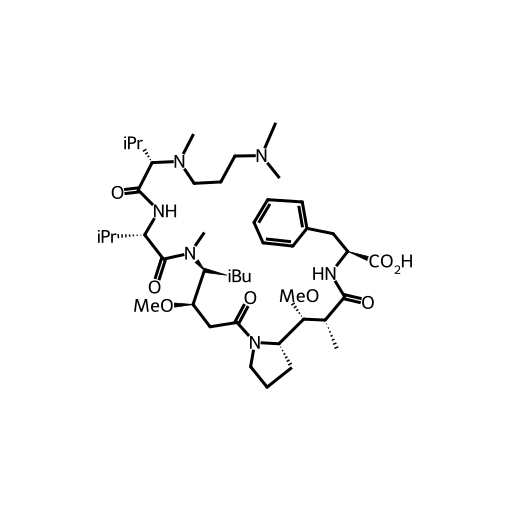 CC[C@H](C)[C@@H]([C@@H](CC(=O)N1CCC[C@H]1[C@H](OC)[C@@H](C)C(=O)N[C@@H](Cc1ccccc1)C(=O)O)OC)N(C)C(=O)[C@@H](NC(=O)[C@H](C(C)C)N(C)CCCN(C)C)C(C)C